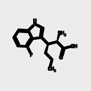 CCC[C@@H](c1c[nH]c2cccc(F)c12)[C@H](N)C(=O)O